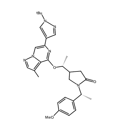 COc1ccc([C@@H](C)N2CC([C@@H](C)Oc3nc(-c4cnn(C(C)(C)C)c4)cn4ncc(C)c34)CC2=O)cc1